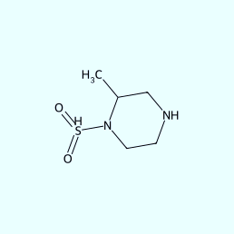 CC1CNCCN1[SH](=O)=O